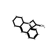 CC1CN(C2CCCC/C2=C/c2ccccc2)C1